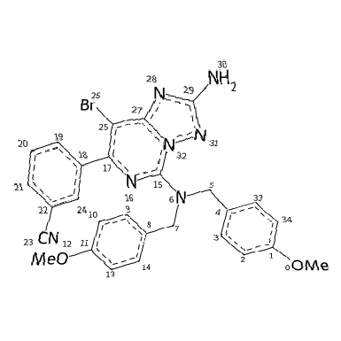 COc1ccc(CN(Cc2ccc(OC)cc2)c2nc(-c3cccc(C#N)c3)c(Br)c3nc(N)nn23)cc1